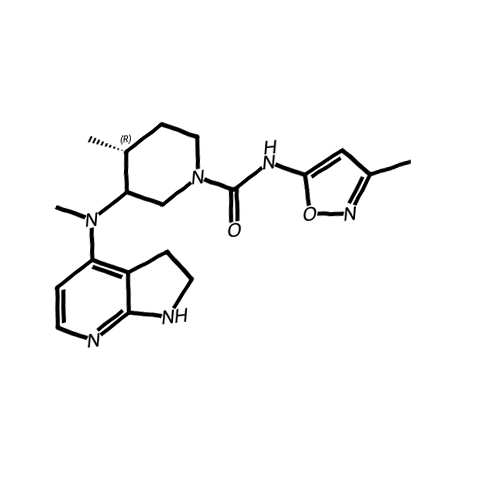 Cc1cc(NC(=O)N2CC[C@@H](C)C(N(C)c3ccnc4c3CCN4)C2)on1